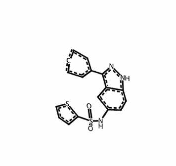 O=S(=O)(Nc1ccc2[nH]nc(-c3ccccc3)c2c1)c1cccs1